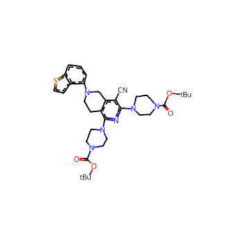 CC(C)(C)OC(=O)N1CCN(c2nc(N3CCN(C(=O)OC(C)(C)C)CC3)c3c(c2C#N)CN(c2cccc4sccc24)CC3)CC1